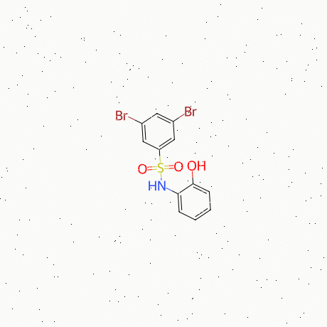 O=S(=O)(Nc1ccccc1O)c1cc(Br)cc(Br)c1